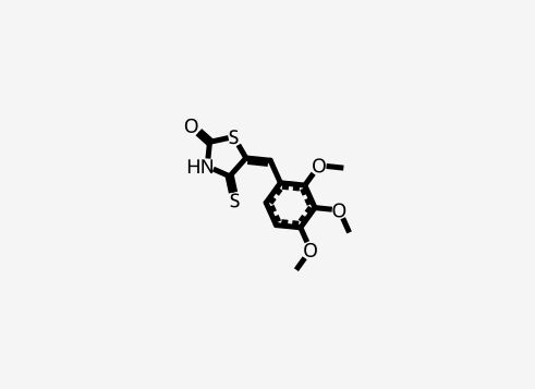 COc1ccc(C=C2SC(=O)NC2=S)c(OC)c1OC